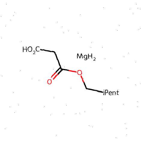 CCCC(C)COC(=O)CC(=O)O.[MgH2]